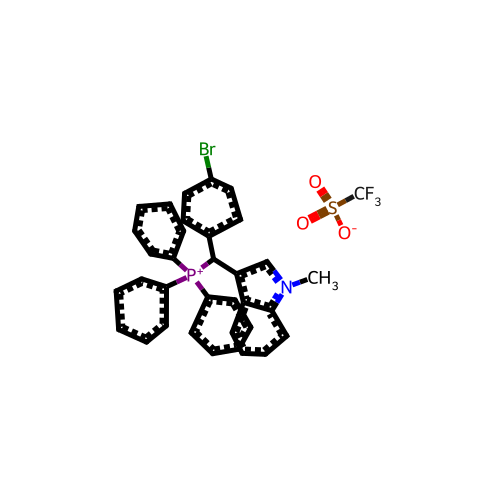 Cn1cc(C(c2ccc(Br)cc2)[P+](c2ccccc2)(c2ccccc2)c2ccccc2)c2ccccc21.O=S(=O)([O-])C(F)(F)F